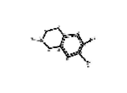 CN1CCc2cc(F)c(Br)cc2C1